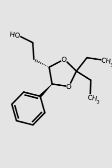 CCC1(CC)O[C@@H](CCO)[C@H](c2ccccc2)O1